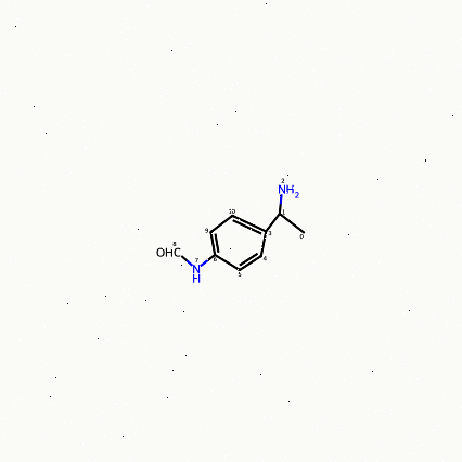 CC(N)c1ccc(NC=O)cc1